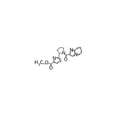 CCOC(=O)c1csc(C2CCCN2C(=O)c2cn3ccccc3n2)n1